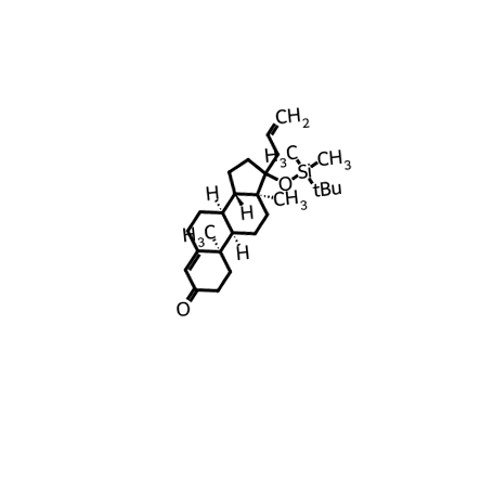 C=CCC1(O[Si](C)(C)C(C)(C)C)CC[C@H]2[C@@H]3CCC4=CC(=O)CC[C@]4(C)[C@@H]3CC[C@@]21C